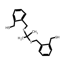 CC(C)(SCc1ccccc1CS)SCc1ccccc1CS